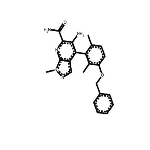 Cc1ccc(OCc2ccccc2)c(C)c1-c1c(N)c(C(N)=O)nc2c1cnn2C